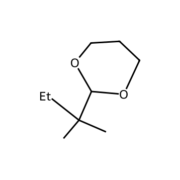 CCC(C)(C)C1OCCCO1